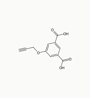 C#CCOc1cc(C(=O)O)cc(C(=O)O)c1